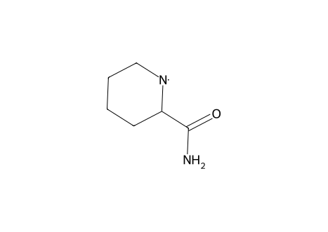 NC(=O)C1CCCC[N]1